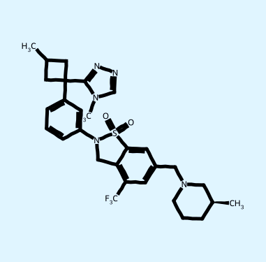 CC1CC(c2cccc(N3Cc4c(C(F)(F)F)cc(CN5CCC[C@H](C)C5)cc4S3(=O)=O)c2)(c2nncn2C)C1